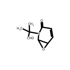 CC(C)(C=O)N1C(=O)C=CC2OC21